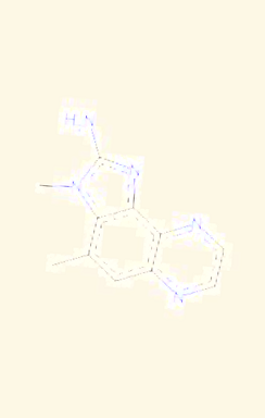 Cc1cc2nccnc2c2nc(N)n(C)c12